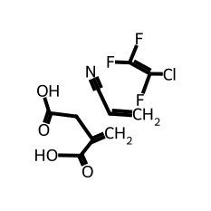 C=C(CC(=O)O)C(=O)O.C=CC#N.FC(F)=C(F)Cl